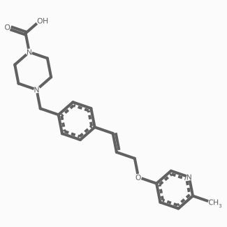 Cc1ccc(OC/C=C/c2ccc(CN3CCN(C(=O)O)CC3)cc2)cn1